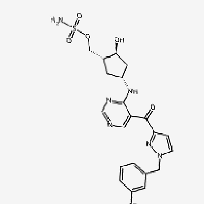 NS(=O)(=O)OC[C@H]1C[C@@H](Nc2ncncc2C(=O)c2ccn(Cc3cccc(C(F)(F)F)c3)n2)C[C@@H]1O